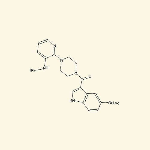 CC(=O)Nc1ccc2[nH]cc(C(=O)N3CCN(c4ncccc4NC(C)C)CC3)c2c1